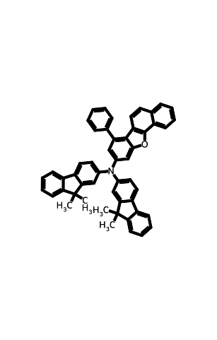 CC1(C)c2ccccc2-c2ccc(N(c3ccc4c(c3)C(C)(C)c3ccccc3-4)c3cc(-c4ccccc4)c4c(c3)oc3c5ccccc5ccc34)cc21